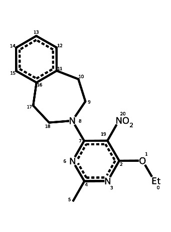 CCOc1nc(C)nc(N2CCc3ccccc3CC2)c1[N+](=O)[O-]